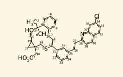 CC(C)(O)c1ccccc1CC[C@H](SCC1(CC(=O)O)CC1F)c1cccc(/C=C/c2ccc3ccc(Cl)cc3n2)c1